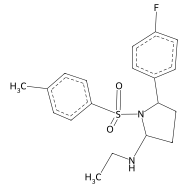 CCNC1CCC(c2ccc(F)cc2)N1S(=O)(=O)c1ccc(C)cc1